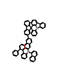 c1ccc(-c2ccccc2-c2ccccc2N(c2ccc3cc(-c4ccc5c(c4)C4(c6ccccc6-5)c5ccccc5-n5c6ccccc6c6cccc4c65)ccc3c2)c2cccc3ccccc23)cc1